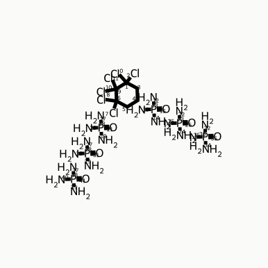 ClC1(Cl)CCCC(Cl)(Cl)C1(Cl)Cl.NP(N)(N)=O.NP(N)(N)=O.NP(N)(N)=O.NP(N)(N)=O.NP(N)(N)=O.NP(N)(N)=O